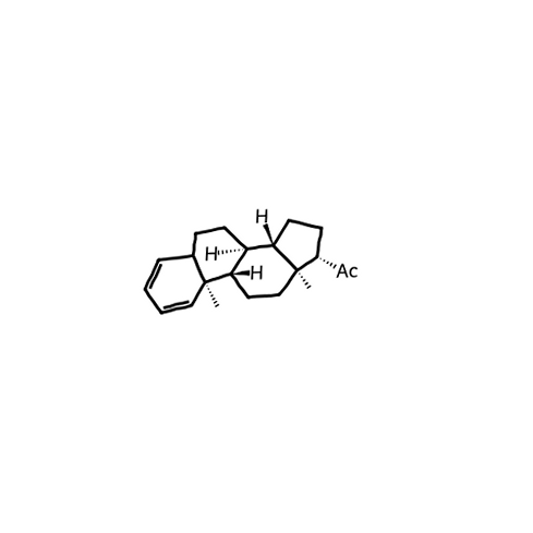 CC(=O)[C@H]1CC[C@H]2[C@@H]3CCC4C=CC=C[C@]4(C)[C@H]3CC[C@]12C